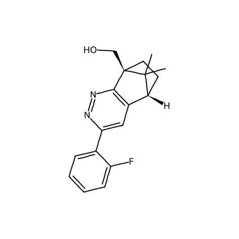 CC1(C)[C@@H]2CC[C@@]1(CO)c1nnc(-c3ccccc3F)cc12